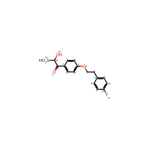 O=C(c1ccc(OCCc2ccc(F)cc2)cc1)C(O)S(=O)(=O)O